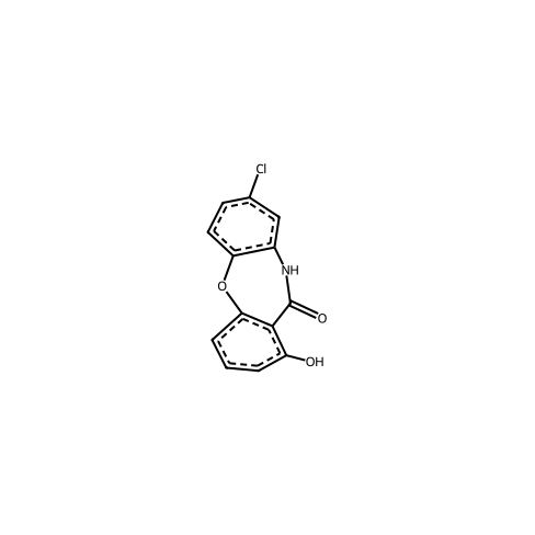 O=C1Nc2cc(Cl)ccc2Oc2cccc(O)c21